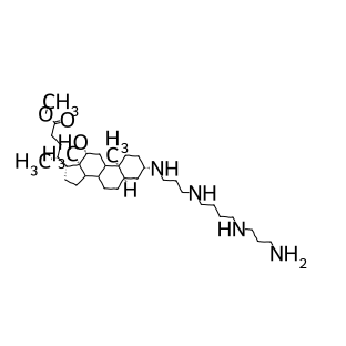 COC(=O)CC[C@@H](C)[C@H]1CCC2C3CC[C@@H]4C[C@@H](NCCCNCCCCNCCCN)CC[C@]4(C)C3C[C@@H](O)[C@@]21C